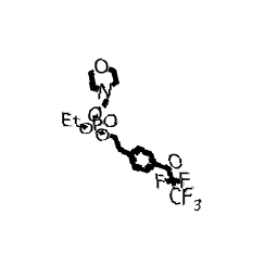 CCOP(=O)(OCCc1ccc(C(=O)C(F)(F)C(F)(F)F)cc1)OCN1CCOCC1